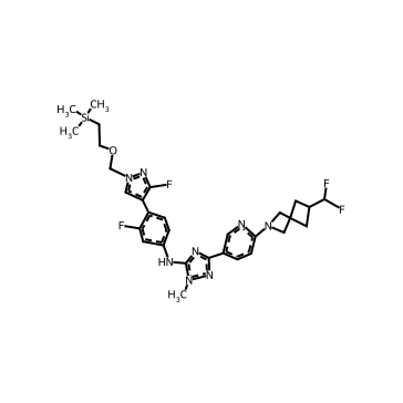 Cn1nc(-c2ccc(N3CC4(CC(C(F)F)C4)C3)nc2)nc1Nc1ccc(-c2cn(COCC[Si](C)(C)C)nc2F)c(F)c1